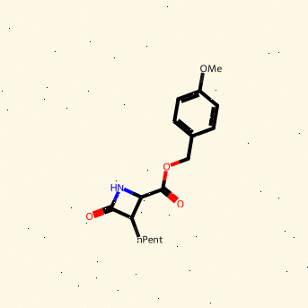 CCCCCC1C(=O)NC1C(=O)OCc1ccc(OC)cc1